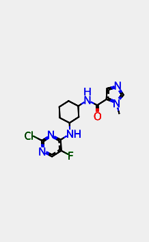 Cn1cncc1C(=O)NC1CCCC(Nc2nc(Cl)ncc2F)C1